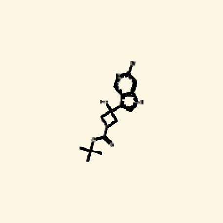 CC(C)(C)OC(=O)N1CC(O)(c2c[nH]c3cc(Br)ncc23)C1